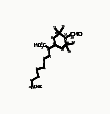 CCCCCCCCCCCCCCCCC(C(=O)O)C1CC(C)(C)N(C=O)C(C)(C)C1